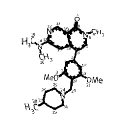 COc1cc(-c2cn(C)c(=O)c3cnc(N(C)C)cc23)cc(OC)c1CN1CCC(C)CC1